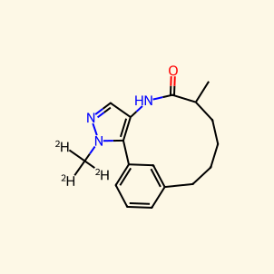 [2H]C([2H])([2H])n1ncc2c1-c1cccc(c1)CCCCC(C)C(=O)N2